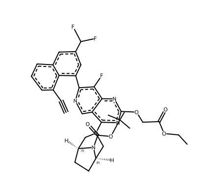 C#Cc1cccc2cc(C(F)F)cc(-c3ncc4c(N5C[C@H]6CC[C@@H](C5)N6C(=O)OC(C)(C)C)nc(OCC(=O)OCC)nc4c3F)c12